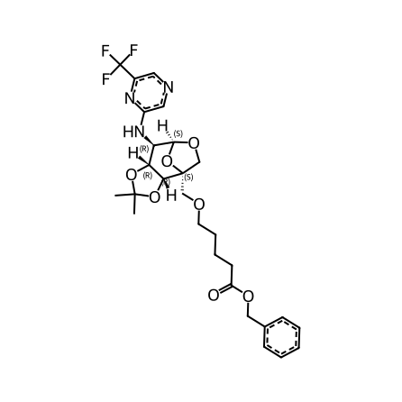 CC1(C)O[C@@H]2[C@@H](Nc3cncc(C(F)(F)F)n3)[C@H]3OC[C@](COCCCCC(=O)OCc4ccccc4)(O3)[C@@H]2O1